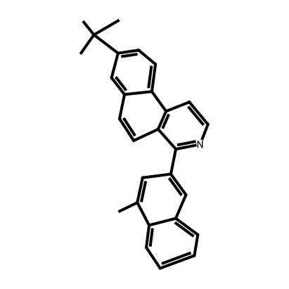 Cc1cc(-c2nccc3c2ccc2cc(C(C)(C)C)ccc23)cc2ccccc12